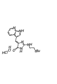 CC(C)(C)CCNC1=NC(=Cc2c[nH]c3ncccc23)C(=O)N1.Cl.Cl